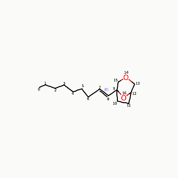 CCCCCCC/C=C/C12CCC(COC1)O2